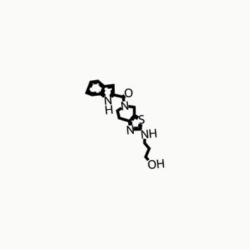 O=C(c1cc2ccccc2[nH]1)N1CCc2nc(NCCCO)sc2C1